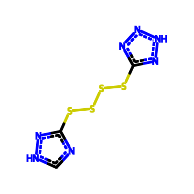 c1nc(SSSSc2nn[nH]n2)n[nH]1